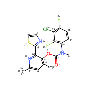 CN(C(=O)Oc1c(C(F)(F)F)cc(C(F)(F)F)nc1-c1nccs1)c1ccc(F)c(Cl)c1F